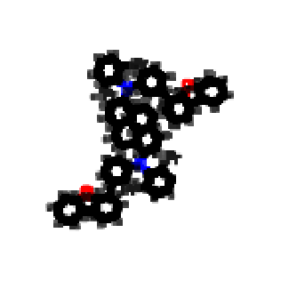 CC(C)c1cccc(C(C)C)c1N(c1cccc(-c2cccc3c2oc2ccccc23)c1)c1ccc2ccc3c(N(c4cccc(-c5cccc6c5oc5ccccc56)c4)c4c(C(C)C)cccc4C(C)C)ccc4ccc1c2c43